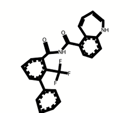 O=C(NC(=O)c1cccc(-c2ccccc2)c1C(F)(F)F)c1cccc2c1C=CC=CN2